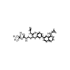 CC(C)(C)OC(=O)NCCN(Cc1cccc(-c2ccc3ncnc(NC4CC4)c3c2)c1)C(=O)CC#N